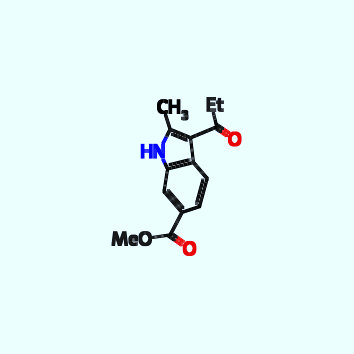 CCC(=O)c1c(C)[nH]c2cc(C(=O)OC)ccc12